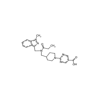 CCC(=O)N(Cc1nn(C)c2ccccc12)CC1CCN(c2ncc(C(=O)O)cn2)CC1